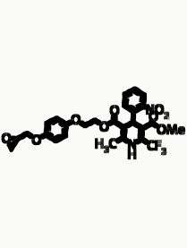 COC(=O)C1=C(C(F)(F)F)NC(C)=C(C(=O)OCCOc2ccc(OCC3CO3)cc2)C1c1ccccc1[N+](=O)[O-]